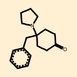 O=C1CCC(Cc2ccccc2)(N2CCCC2)CC1